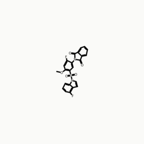 COc1cc(F)c(N2C(=O)c3ccccc3C2=O)cc1S(=O)(=O)n1ccc2c(F)cccc21